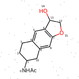 CC(=O)NC1CCc2cc3c(cc2C1)OCC3O